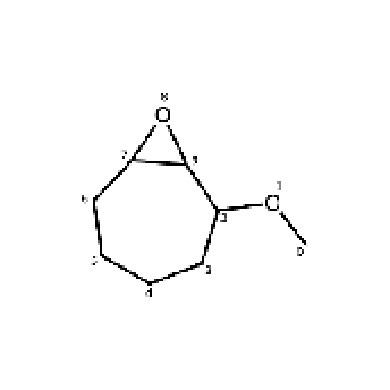 COC1CCCCC2OC12